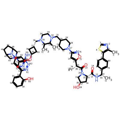 Cc1ncsc1-c1ccc([C@H](C)NC(=O)[C@@H]2C[C@@H](O)CN2C(=O)[C@@H](c2cc(N3CCC(CN4CCN(C[C@H]5C[C@H](Oc6cc(N7C8CCC7CN(c7cc(-c9ccccc9O)nnc7N)C8)ccn6)C5)C(C)C4C)CC3)no2)C(C)C)cc1